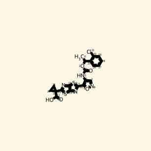 CC(OC(=O)Nc1cnoc1-c1nc2sc(C3(C(=O)O)CC3)nc2s1)c1ccccc1Cl